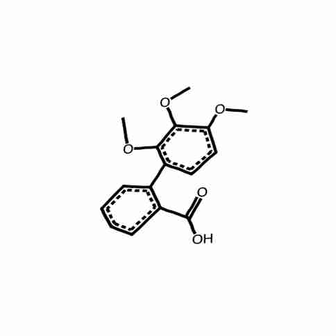 COc1ccc(-c2ccccc2C(=O)O)c(OC)c1OC